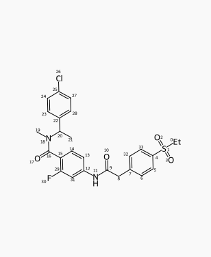 CCS(=O)(=O)c1ccc(CC(=O)Nc2ccc(C(=O)N(C)C(C)c3ccc(Cl)cc3)c(F)c2)cc1